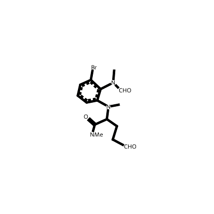 CNC(=O)C(CCC=O)N(C)c1cccc(Br)c1N(C)C=O